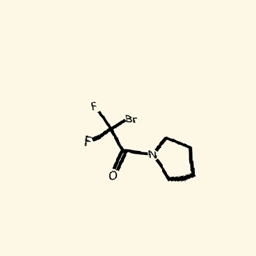 O=C(N1CCCC1)C(F)(F)Br